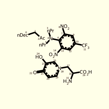 CCCCCCCCCCCC(C)=O.CCCN(CCC)c1c([N+](=O)[O-])cc(C(F)(F)F)cc1[N+](=O)[O-].NC(Cn1ccc(=O)c(O)c1)C(=O)O